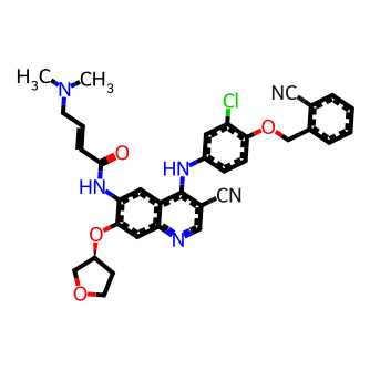 CN(C)CC=CC(=O)Nc1cc2c(Nc3ccc(OCc4ccccc4C#N)c(Cl)c3)c(C#N)cnc2cc1O[C@H]1CCOC1